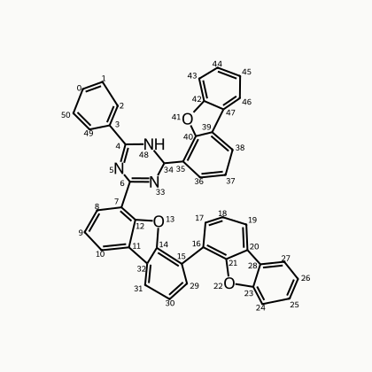 c1ccc(C2=NC(c3cccc4c3oc3c(-c5cccc6c5oc5ccccc56)cccc34)=NC(c3cccc4c3oc3ccccc34)N2)cc1